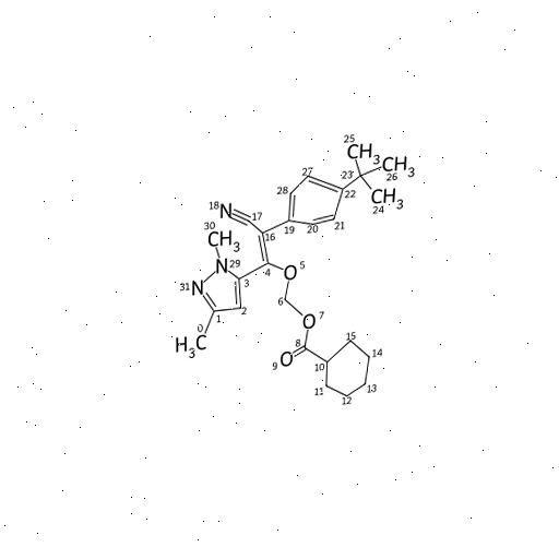 Cc1cc(/C(OCOC(=O)C2CCCCC2)=C(\C#N)c2ccc(C(C)(C)C)cc2)n(C)n1